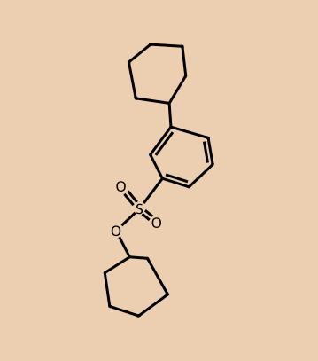 O=S(=O)(OC1CCCCC1)c1cccc(C2CCCCC2)c1